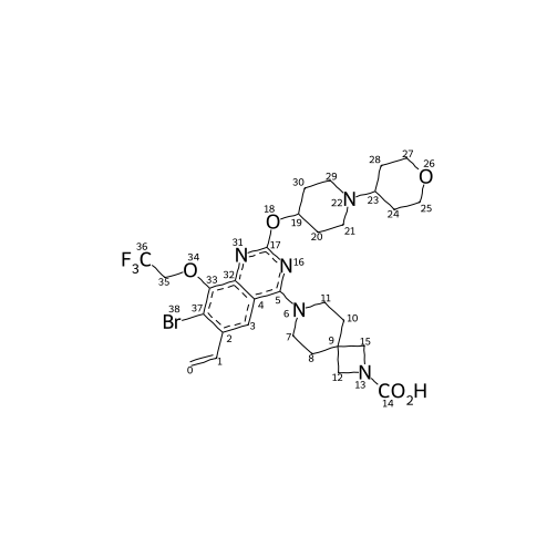 C=Cc1cc2c(N3CCC4(CC3)CN(C(=O)O)C4)nc(OC3CCN(C4CCOCC4)CC3)nc2c(OCC(F)(F)F)c1Br